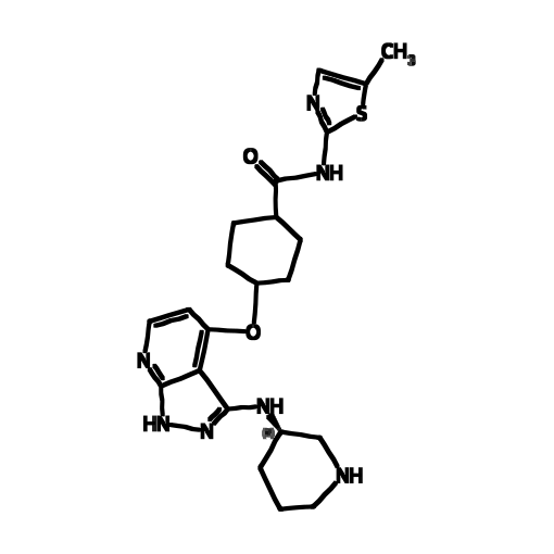 Cc1cnc(NC(=O)C2CCC(Oc3ccnc4[nH]nc(N[C@@H]5CCCNC5)c34)CC2)s1